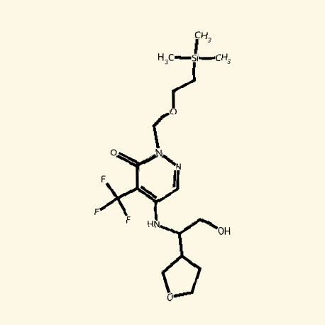 C[Si](C)(C)CCOCn1ncc(NC(CO)C2CCOC2)c(C(F)(F)F)c1=O